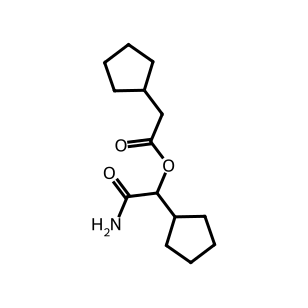 NC(=O)C(OC(=O)CC1CCCC1)C1CCCC1